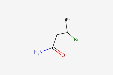 CC(C)C(Br)CC(N)=O